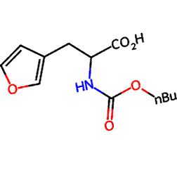 CCCCOC(=O)NC(Cc1ccoc1)C(=O)O